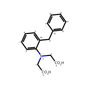 O=C(O)CN(CC(=O)O)c1ccccc1Cc1ccccc1